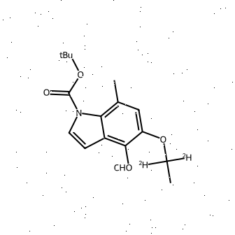 [2H]C([2H])(C)Oc1cc(C)c2c(ccn2C(=O)OC(C)(C)C)c1C=O